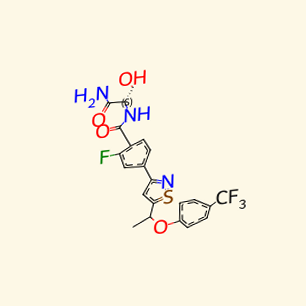 CC(Oc1ccc(C(F)(F)F)cc1)c1cc(-c2ccc(C(=O)N[C@@H](CO)C(N)=O)c(F)c2)ns1